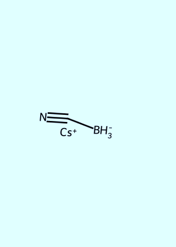 [BH3-]C#N.[Cs+]